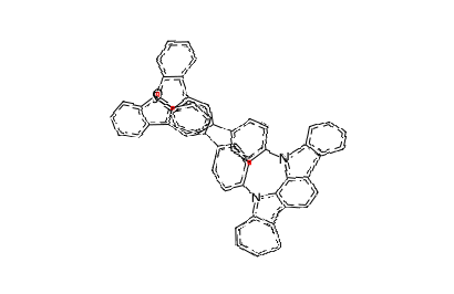 c1ccc2c(c1)oc1ccc(-c3ccc(-n4c5ccccc5c5ccc6c7ccccc7n(-c7ccc(-c8ccc9sc%10ccccc%10c9c8)cc7)c6c54)cc3)cc12